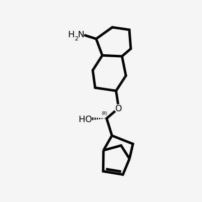 NC1CCCC2CC(O[C@@H](O)C3CC4C=CC3C4)CCC12